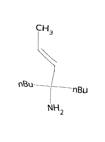 CC=CC(N)(CCCC)CCCC